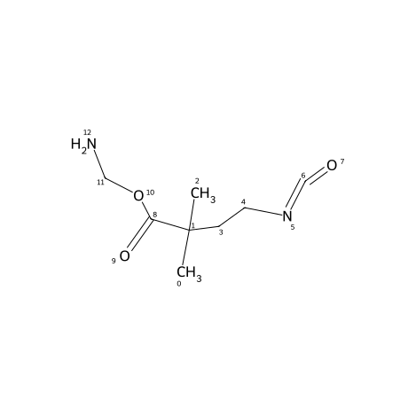 CC(C)(CCN=C=O)C(=O)OCN